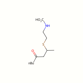 CCCCC(=O)CC(C)SCCNC(=O)O